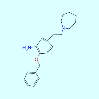 Nc1cc(CCN2CCCCCC2)ccc1OCc1ccccc1